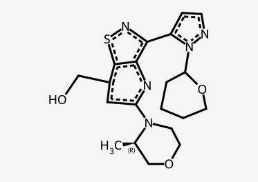 C[C@@H]1COCCN1c1cc(CO)c2snc(-c3ccnn3C3CCCCO3)c2n1